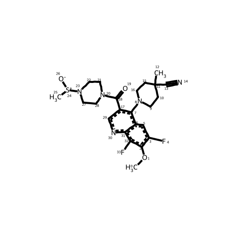 COc1c(F)cc2c(N3CCC(C)(C#N)CC3)c(C(=O)N3CCN([S+](C)[O-])CC3)cnc2c1F